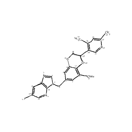 COc1cc(Cn2cnc3cc(I)cnc32)cc2c1OC(c1cnc(C)cc1C)CO2